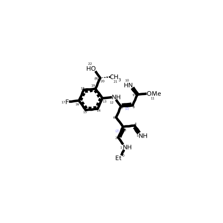 CCN/C=C(\C=N)C/C(=C/C(=N)OC)Nc1ccc(F)cc1[C@@H](C)O